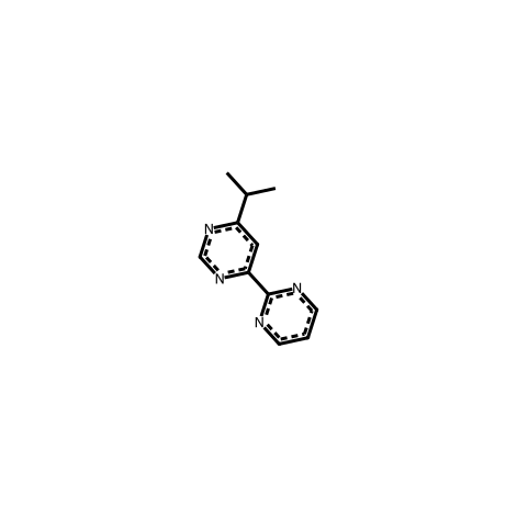 CC(C)c1cc(-c2ncccn2)ncn1